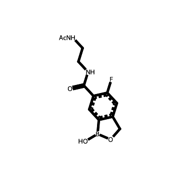 CC(=O)NCCNC(=O)c1cc2c(cc1F)COB2O